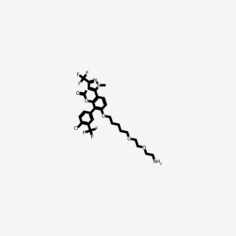 CC(=O)Oc1c(-c2cc(C(F)(F)F)nn2C)ccc(OCCCCCOCCOCCN)c1-c1ccc(Cl)c(C(F)(F)F)c1